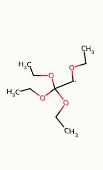 CCO[CH]C(OCC)(OCC)OCC